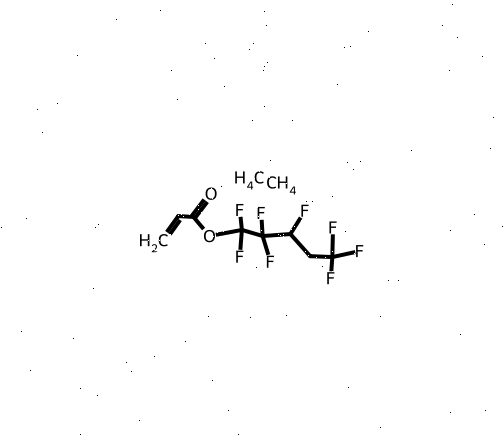 C.C.C=CC(=O)OC(F)(F)C(F)(F)C(F)CC(F)(F)F